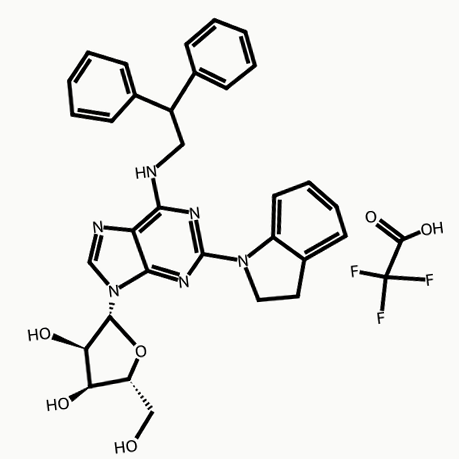 O=C(O)C(F)(F)F.OC[C@H]1O[C@@H](n2cnc3c(NCC(c4ccccc4)c4ccccc4)nc(N4CCc5ccccc54)nc32)[C@H](O)[C@@H]1O